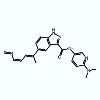 C=N/C=C\C=C(/C)c1ccc2[nH]nc(C(=O)Nc3ccc(N(C)C)nc3)c2c1